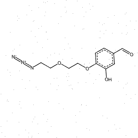 [N-]=[N+]=NCCOCCOc1ccc(C=O)cc1O